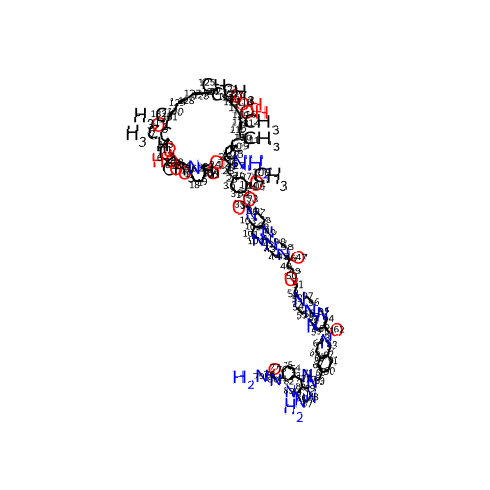 CO[C@H]1C[C@@H]2CC[C@@H](C)[C@@](O)(O2)C(=O)C(=O)N2CCCC[C@H]2C(=O)O[C@H]([C@H](N)C[C@@H]2CC[C@@H](OC(=O)N3CCc4nc(N5CCN(C(=O)CCOCCN6CCN(c7ncc(C(=O)N8CCc9cc(Cn%10nc(-c%11ccc%12oc(N)nc%12c%11)c%11c(N)ncnc%11%10)ccc9C8)cn7)CC6)CC5)ncc4C3)[C@H](OC)C2)CC[C@H](C)/C=C(\C)[C@@H](O)[C@@H](O)C(=O)[C@H](C)C[C@H](C)/C=C/C=C/C=C/1C